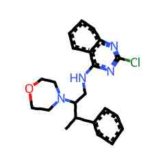 CC(c1ccccc1)C(CNc1nc(Cl)nc2ccccc12)N1CCOCC1